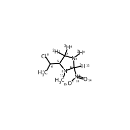 [2H]N1C([2H])([2H])C(C(C)Cl)N(C)C1([2H])[N+](=O)[O-]